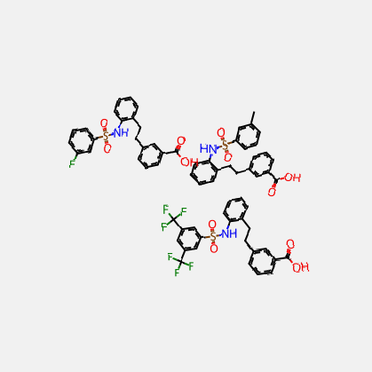 Cc1cccc(S(=O)(=O)Nc2ccccc2CCc2cccc(C(=O)O)c2)c1.O=C(O)c1cccc(CCc2ccccc2NS(=O)(=O)c2cc(C(F)(F)F)cc(C(F)(F)F)c2)c1.O=C(O)c1cccc(CCc2ccccc2NS(=O)(=O)c2cccc(F)c2)c1